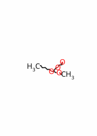 CCCCCCOC(COCC)COCC=O